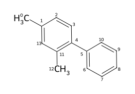 Cc1ccc(-c2ccccc2)c(C)c1